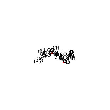 Cc1c(-c2ccc(-c3ccc4c(c3)N(C(=O)Nc3nc5ccccc5s3)CCC4)nc2C(=O)O)cnn1CC12CC3(C)CC(C)(C1)CC(OCCN(CCC(=O)OC(C)(C)C)C(=O)OC(C)(C)C)(C3)C2